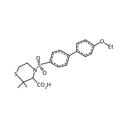 CCOc1ccc(-c2ccc(S(=O)(=O)N3CCSC(C)(C)C3C(=O)O)cc2)cc1